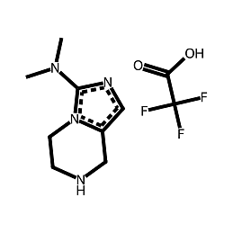 CN(C)c1ncc2n1CCNC2.O=C(O)C(F)(F)F